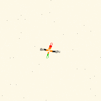 CCC(C)P(=O)(Cl)C(C)CC